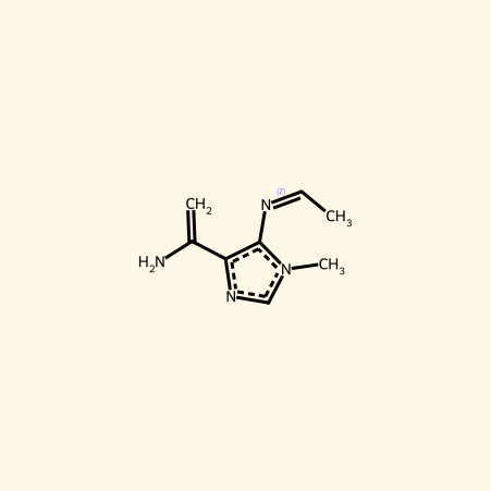 C=C(N)c1ncn(C)c1/N=C\C